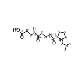 CC(C)CN1CCC[C@H]1C(=O)NCCC(=O)NCCC(=O)O